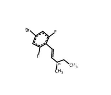 CC[C@@H](C)C=Cc1c(F)cc(Br)cc1F